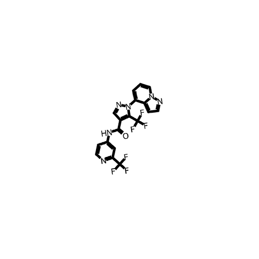 O=C(Nc1ccnc(C(F)(F)F)c1)c1cnn(-c2cccn3nccc23)c1C(F)(F)F